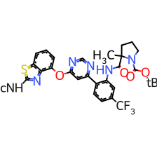 CC(=O)Nc1nc2c(Oc3cc(-c4ccc(C(F)(F)F)cc4NC(=O)C4(C)CCCN4C(=O)OC(C)(C)C)ncn3)cccc2s1